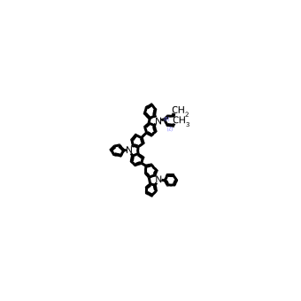 C=C/C=C(\C=C/C)n1c2ccccc2c2cc(-c3ccc4c(c3)c3cc(-c5ccc6c(c5)c5ccccc5n6-c5ccccc5)ccc3n4-c3ccccc3)ccc21